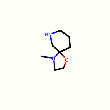 CN1CCOC12CCCNC2